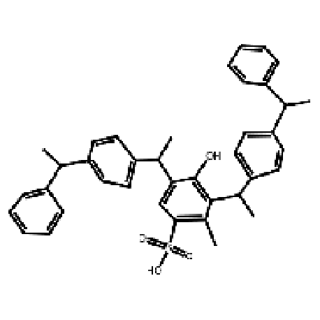 Cc1c(S(=O)(=O)O)cc(C(C)c2ccc(C(C)c3ccccc3)cc2)c(O)c1C(C)c1ccc(C(C)c2ccccc2)cc1